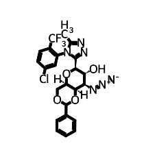 Cc1nnc([C@@H]2O[C@@H]3COC(c4ccccc4)O[C@@H]3[C@H](N=[N+]=[N-])[C@H]2O)n1-c1cc(Cl)ccc1C(F)(F)F